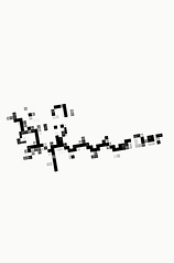 CCCCCCCCCCCCCCCC(=O)NC(C)C[N+](C)(C)C.[Cl-]